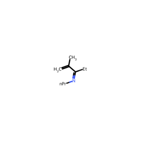 C=C(C)/C(CC)=N\CCC